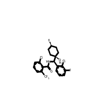 O=C(NC(c1cccc(F)c1Cl)[C@]1(O)CC[C@@H](F)CC1)c1c(Cl)cccc1C(F)(F)F